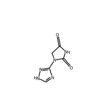 O=C1CN(c2nc[nH]n2)C(=O)N1